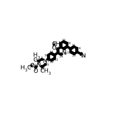 COC(=O)N1C(C)CN(c2ccc(-c3cnc4c(-c5ccc(C#N)cc5)cccc4c3OC)cc2)CC1C